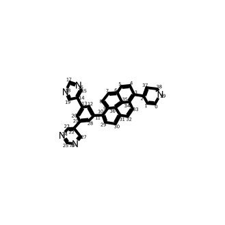 c1cc(-c2ccc3ccc4c(-c5cc(-c6cncnc6)cc(-c6cncnc6)c5)ccc5ccc2c3c54)ccn1